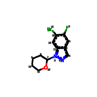 Fc1cc2cnn(C3CCCCO3)c2cc1Br